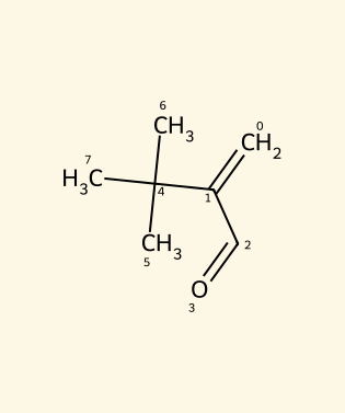 C=C(C=O)C(C)(C)C